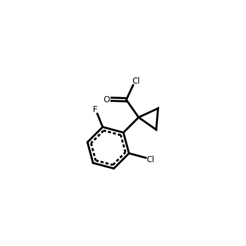 O=C(Cl)C1(c2c(F)cccc2Cl)CC1